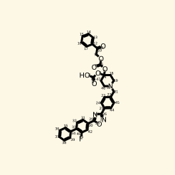 O=C(O)OC1(OC(=O)OCC(=O)c2ccccc2)CCN(Cc2ccc(-c3noc(-c4ccc(-c5ccccc5)c(F)c4)n3)cc2)CC1